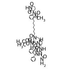 Cn1c(=O)n(C2CCC(=O)NC2=O)c2cccc(CCCCCCCC(=O)N3CC[C@H]4CC[C@@H](C(=O)N[C@@H](CCC(N)=O)C(=O)NC(c5ccccc5)c5ccccc5)N4C(=O)[C@@H](NC(=O)OC(C)(C)C)C3)c21